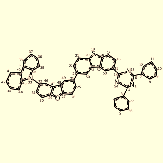 c1ccc(-c2nc(-c3ccccc3)nc(-c3ccc4sc5ccc(-c6ccc7oc8ccc(-n9c%10ccccc%10c%10ccccc%109)cc8c7c6)cc5c4c3)n2)cc1